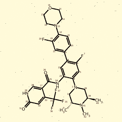 C[C@@H]1CN(c2cc(F)c(-c3ccc(N4CCOCC4)c(F)c3)cc2NC(=O)c2c[nH]c(=O)cc2C(F)(F)F)C[C@@H](C)N1C